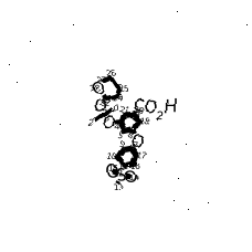 CC(C)(Oc1cc(Oc2ccc(S(C)(=O)=O)cc2)cc(C(=O)O)c1)OC1CCCCO1